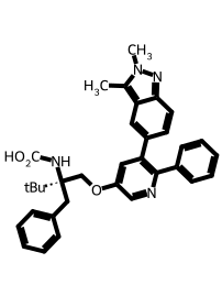 Cc1c2cc(-c3cc(OC[C@@](Cc4ccccc4)(NC(=O)O)C(C)(C)C)cnc3-c3ccccc3)ccc2nn1C